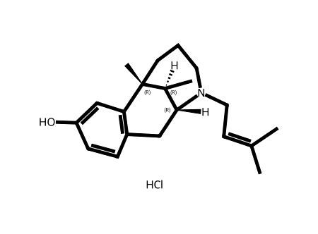 CC(C)=CCN1CCC[C@@]2(C)c3cc(O)ccc3C[C@@H]1[C@@H]2C.Cl